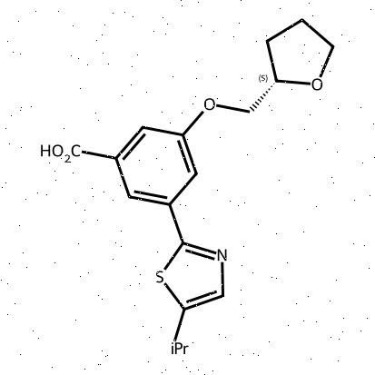 CC(C)c1cnc(-c2cc(OC[C@@H]3CCCO3)cc(C(=O)O)c2)s1